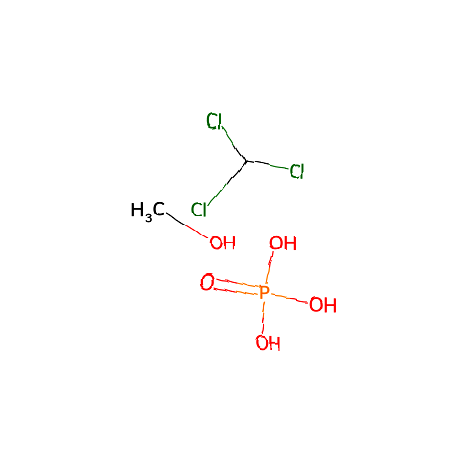 CO.ClC(Cl)Cl.O=P(O)(O)O